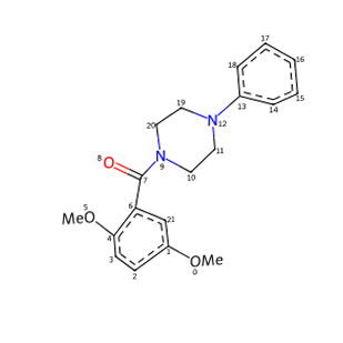 COc1ccc(OC)c(C(=O)N2CCN(c3ccccc3)CC2)c1